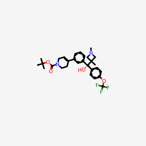 CN1CC(C)([C@@](O)(c2ccc(OC(F)(F)F)cc2)c2cccc(C3=CCN(C(=O)OC(C)(C)C)CC3)c2)C1